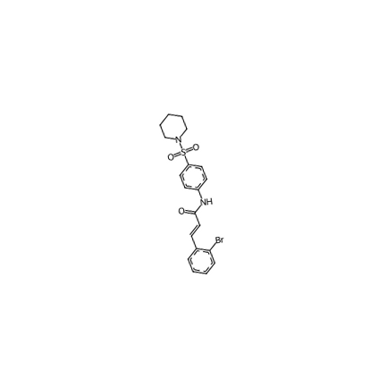 O=C(C=Cc1ccccc1Br)Nc1ccc(S(=O)(=O)N2CCCCC2)cc1